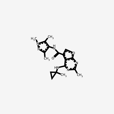 Cc1nc(NC2(C)CC2)c2c(C(=O)Nc3c(C)nn(C)c3C)coc2n1